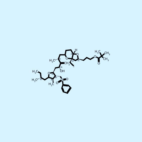 C=C([C@H](C)CC1CC[C@@H]2O[C@@H](CCCOC(=O)C(C)(C)C)C[C@]2(CI)O1)[C@H](O)C[C@@H]1OC(C[C@H](C)CC)[C@H](C)[C@H]1CS(=O)(=O)c1ccccc1